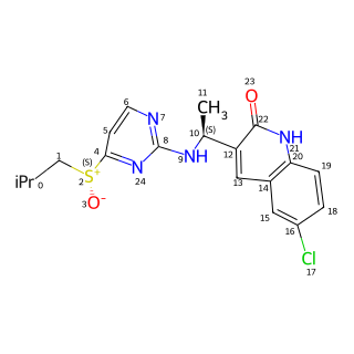 CC(C)C[S@@+]([O-])c1ccnc(N[C@@H](C)c2cc3cc(Cl)ccc3[nH]c2=O)n1